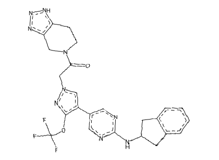 O=C(Cn1cc(-c2cnc(NC3Cc4ccccc4C3)nc2)c(OC(F)(F)F)n1)N1CCc2[nH]nnc2C1